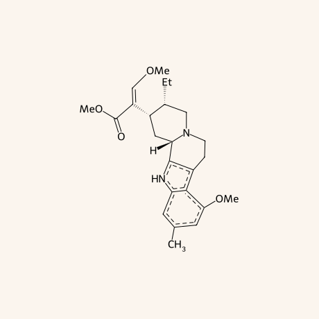 CC[C@@H]1CN2CCc3c([nH]c4cc(C)cc(OC)c34)[C@@H]2C[C@@H]1/C(=C\OC)C(=O)OC